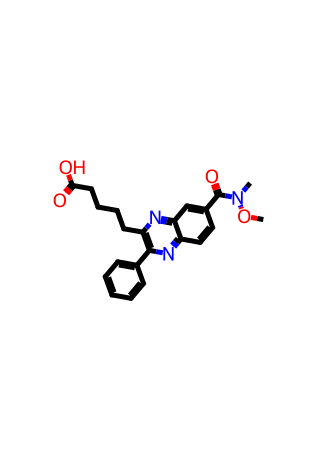 CON(C)C(=O)c1ccc2nc(-c3ccccc3)c(CCCCC(=O)O)nc2c1